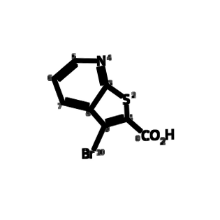 O=C(O)c1sc2ncccc2c1Br